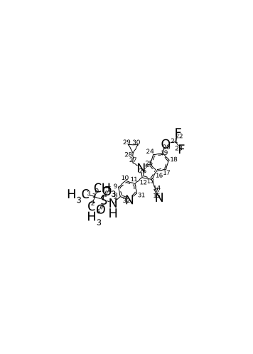 CC(C)(C)S(=O)(=O)Nc1ccc(-c2c(C#N)c3ccc(OC(F)F)cc3n2CC2CC2)cn1